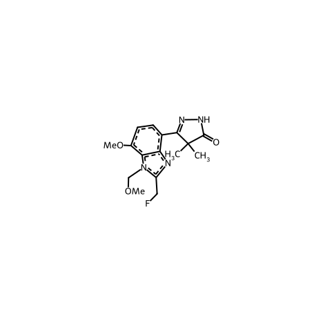 COCn1c(CF)nc2c(C3=NNC(=O)C3(C)C)ccc(OC)c21